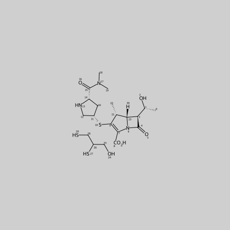 C[C@@H](O)[C@H]1C(=O)N2C(C(=O)O)=C(S[C@@H]3CN[C@H](C(=O)N(C)C)C3)[C@H](C)[C@H]12.OCC(S)CS